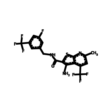 Cc1cc(C(F)(F)F)c2c(N)c(C(=O)NCc3cc(F)cc(C(F)(F)F)c3)sc2n1